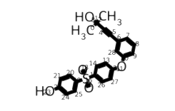 CC(C)(O)C#Cc1cccc(Oc2ccc(S(=O)(=O)c3ccc(O)cc3)cc2)c1